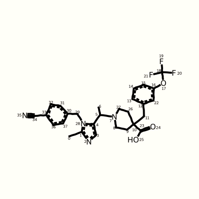 Cc1ncc(C(C)N2CCC(Cc3cccc(OC(F)(F)F)c3)(C(=O)O)CC2)n1Cc1ccc(C#N)cc1